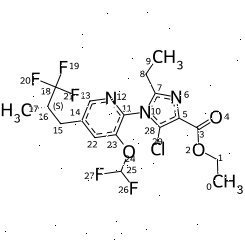 CCOC(=O)c1nc(CC)n(-c2ncc(C[C@H](C)C(F)(F)F)cc2OC(F)F)c1Cl